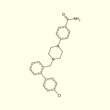 NC(=O)c1ccc(N2CCN(Cc3ccccc3-c3ccc(Cl)cc3)CC2)cc1